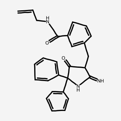 C=CCNC(=O)c1cccc(CC2C(=N)NC(c3ccccc3)(c3ccccc3)C2=O)c1